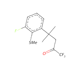 CSc1c(F)cccc1C(C)(C)CC(=O)C(F)(F)F